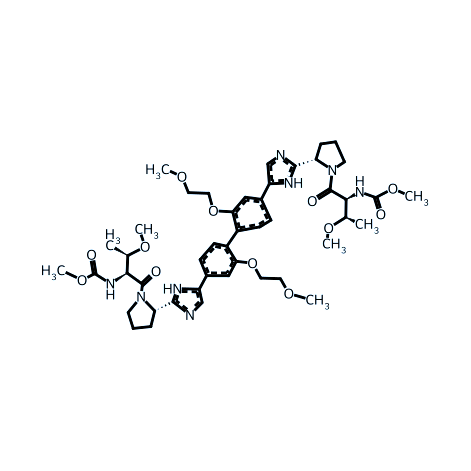 COCCOc1cc(-c2cnc([C@@H]3CCCN3C(=O)[C@@H](NC(=O)OC)[C@@H](C)OC)[nH]2)ccc1-c1ccc(-c2cnc([C@@H]3CCCN3C(=O)[C@@H](NC(=O)OC)[C@@H](C)OC)[nH]2)cc1OCCOC